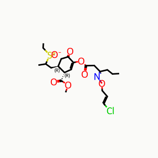 CCCC(CC(=O)OC1=C[C@H](C(=O)OC)[C@@H](CC(C)[S+]([O-])CC)CC1=O)=NOCC=CCl